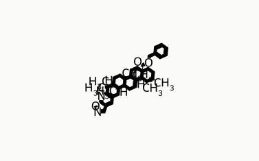 C[C@H]1[C@H](C)CC[C@]2(C(=O)OCc3ccccc3)CC[C@]3(C)C(=CC[C@@H]4[C@@]5(C)Cc6cc7cnoc7nc6C(C)(C)[C@@H]5CC[C@]43C)[C@H]12